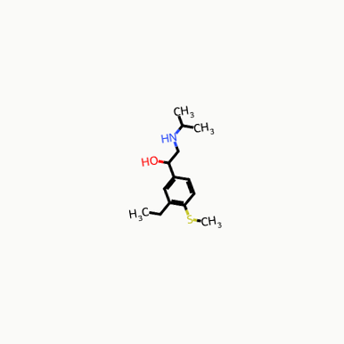 CCc1cc(C(O)CNC(C)C)ccc1SC